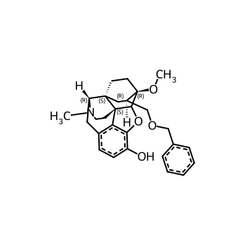 CO[C@]12CC[C@@]3(C[C@@H]1COCc1ccccc1)[C@H]1Cc4ccc(O)c5c4[C@@]3(CCN1C)C2O5